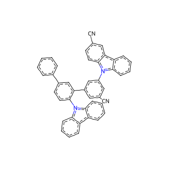 N#Cc1cc(-c2cc(-c3ccccc3)ccc2-n2c3ccccc3c3ccccc32)cc(-n2c3ccccc3c3cc(C#N)ccc32)c1